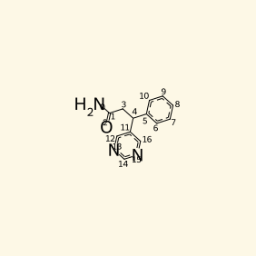 NC(=O)CC(c1ccccc1)c1cncnc1